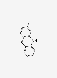 Cc1[c]c2c(cc1)Sc1ccccc1N2